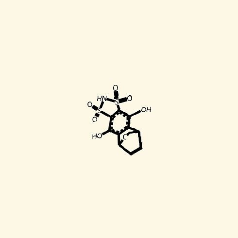 O=S1(=O)NS(=O)(=O)c2c(O)c3c(c(O)c21)C1CCC3CC1